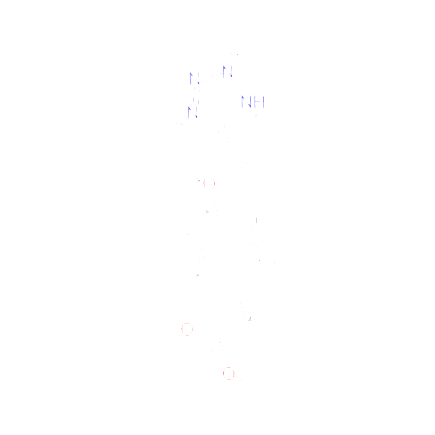 COC(=O)Cc1ccc(OCc2nnn[nH]2)cc1